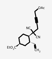 C=C[C@@H]1C[C@@H](C(=O)OCC)CC[C@H]1C(C#N)(C#N)CC#CCOC(C)=O